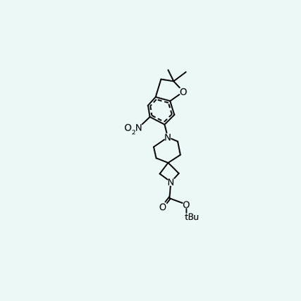 CC(C)(C)OC(=O)N1CC2(CCN(c3cc4c(cc3[N+](=O)[O-])CC(C)(C)O4)CC2)C1